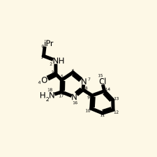 CC(C)CNC(=O)c1cnc(-c2ccccc2Cl)nc1N